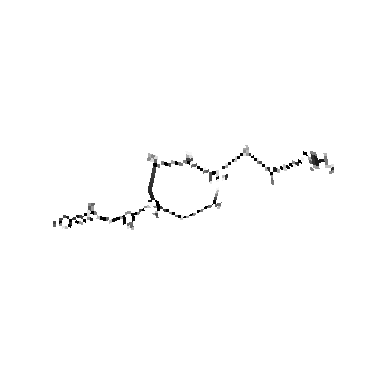 NCCN1CCN(OC=O)CC1